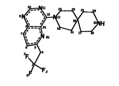 FC(F)(F)Cc1ccc2ncnc(N3CCC4(CCNCC4)CC3)c2n1